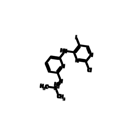 C[SH2](C)=Nc1cccc(Nc2nc(Cl)ncc2I)n1